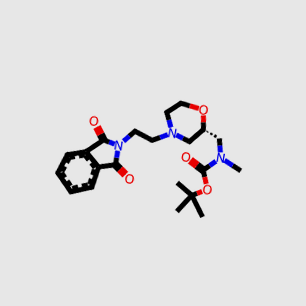 CN(C[C@@H]1CN(CCN2C(=O)c3ccccc3C2=O)CCO1)C(=O)OC(C)(C)C